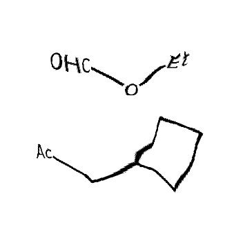 CC(=O)CC1CCC1.CCOC=O